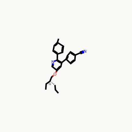 CCC[C@H](CC)COc1cnc(-c2ccc(C)cc2)c(-c2ccc(C#N)cc2)c1